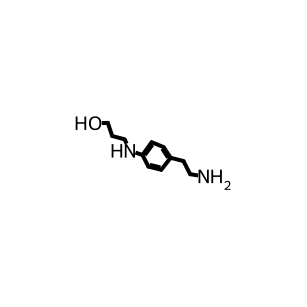 NCCc1ccc(NCCCO)cc1